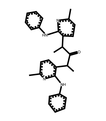 Cc1ccc(C(C)C(=O)C(C)c2ccc(C)nc2Nc2ccccc2)c(Nc2ccccc2)n1